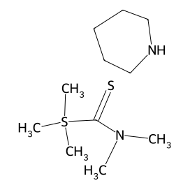 C1CCNCC1.CN(C)C(=S)S(C)(C)C